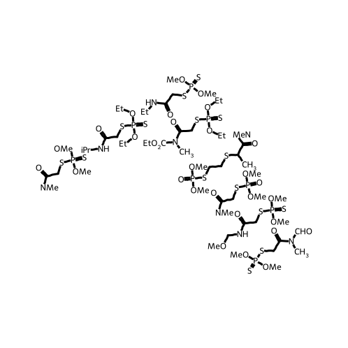 CCNC(=O)CSP(=S)(OC)OC.CCOC(=O)N(C)C(=O)CSP(=S)(OCC)OCC.CCOP(=S)(OCC)SCC(=O)NC(C)C.CNC(=O)C(C)SCCSP(=O)(OC)OC.CNC(=O)CSP(=O)(OC)OC.CNC(=O)CSP(=S)(OC)OC.COCNC(=O)CSP(=S)(OC)OC.COP(=S)(OC)SCC(=O)N(C)C=O